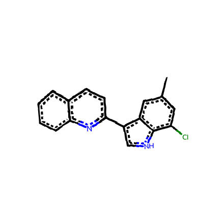 Cc1cc(Cl)c2[nH]cc(-c3ccc4ccccc4n3)c2c1